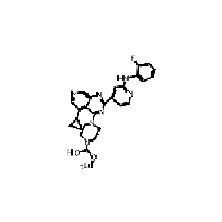 CC(C)(C)OC(O)N1CCN(c2nc(-c3ccnc(Nc4ccccc4F)c3)nc3cncc(C4CC4)c23)CC1